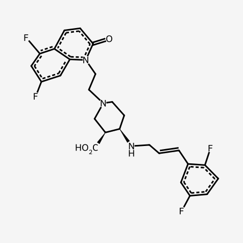 O=C(O)[C@H]1CN(CCn2c(=O)ccc3c(F)cc(F)cc32)CC[C@H]1NC/C=C/c1cc(F)ccc1F